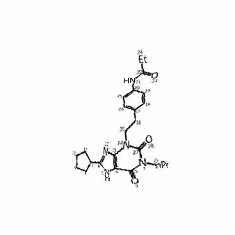 CCCn1c(=O)c2[nH]c(C3CCCC3)nc2n(CCc2ccc(NC(=O)CC)cc2)c1=O